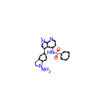 Cn1cc(-c2ccc3c(c2)CCN3N)c2c(NS(=O)(=O)c3ccccc3)ccnc21